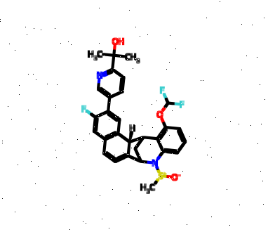 C[S+]([O-])N1c2cccc(OC(F)F)c2C2CC1C1=C=Cc3cc(F)c(-c4ccc(C(C)(C)O)nc4)cc3[C@@H]12